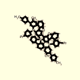 Cc1ccc(-c2cc(N(c3ccc(C(C)C)cc3)c3cc4c(c5oc6ccccc6c35)-c3c(cc(N(c5ccc(C(C)C)cc5)c5ccc(C)c(-c6ccc(C)cc6)c5)c5c3oc3ccccc35)[Si]43c4ccccc4-c4ccccc43)ccc2C)cc1